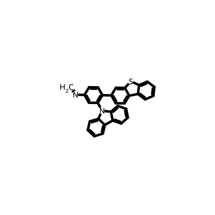 C=Nc1ccc(-c2ccc3c(c2)sc2ccccc23)c(-n2c3ccccc3c3ccccc32)c1